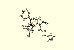 O=C1N/C(=N/C(c2ccccc2)c2ccccc2)C(c2cc(F)cc(F)c2)N1CCCn1ccnc1